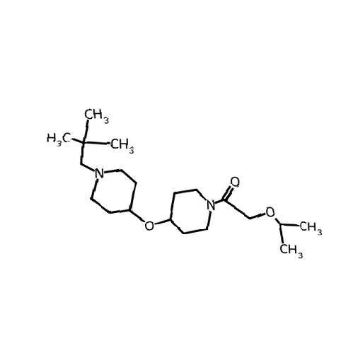 CC(C)OCC(=O)N1CCC(OC2CCN(CC(C)(C)C)CC2)CC1